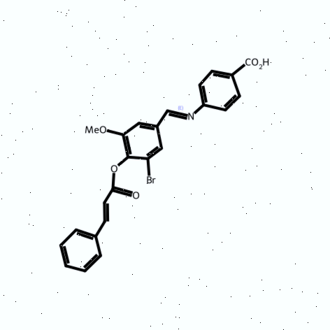 COc1cc(/C=N/c2ccc(C(=O)O)cc2)cc(Br)c1OC(=O)C=Cc1ccccc1